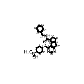 CN(C)[C@H]1CC[C@H](Cc2ncnc3c2C2=C(CCC2C(=O)NCc2ccccc2)C3)CC1